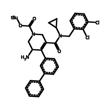 CC(C)(C)OC(=O)N1CC(C(=O)N(Cc2cccc(Cl)c2Cl)C2CC2)=C(c2cccc(-c3ccccc3)c2)C(N)C1